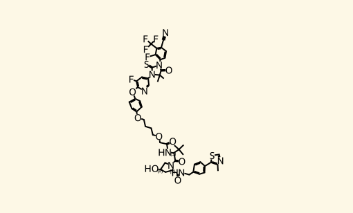 Cc1ncsc1-c1ccc(CNC(=O)[C@@H]2C[C@@H](O)CN2C(=O)[C@@H](NC(=O)COCCCCOc2ccc(Oc3ncc(N4C(=S)N(c5ccc(C#N)c(C(F)(F)F)c5F)C(=O)C4(C)C)cc3F)cc2)C(C)(C)C)cc1